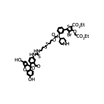 CCOC(=O)COc1c(C(=O)OCC)sc(-c2cccc(N(C(=O)OCCSSCCNC(=S)Nc3ccc4c(c3)C(=O)OC43c4ccc(O)cc4Oc4cc(O)ccc43)C3CCNCC3)c2)c1Br